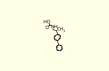 CC(CNC(=O)O)c1ccc(-c2ccccc2)cc1